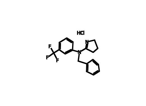 Cl.FC(F)(F)c1cccc(N(Cc2ccccc2)C2=NCCC2)c1